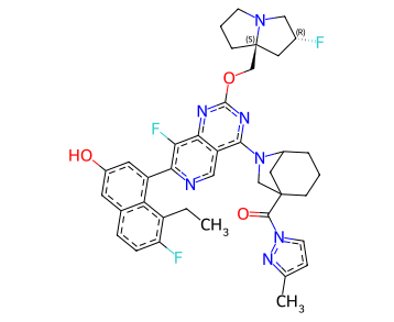 CCc1c(F)ccc2cc(O)cc(-c3ncc4c(N5CC6(C(=O)n7ccc(C)n7)CCCC5C6)nc(OC[C@@]56CCCN5C[C@H](F)C6)nc4c3F)c12